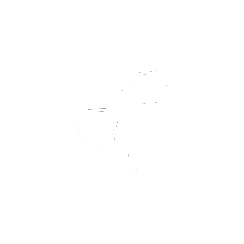 SCC1=CC(Oc2ccccc2)=CCC=C1